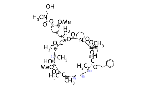 CO[C@@H]1C[C@H](C[C@@H](C)[C@@H]2CC(=O)[C@H](C)/C=C(\C)[C@@H](O)[C@@H](OC)C(=O)[C@H](C)C[C@H](C)/C=C/C=C/C=C(\C)C(OCCc3ccccc3)C[C@@H]3CC[C@@H](C)[C@@](O)(O3)C(=O)C(=O)N3CCCCC3C(=O)O2)CC[C@H]1OC(=O)N(C)CCO